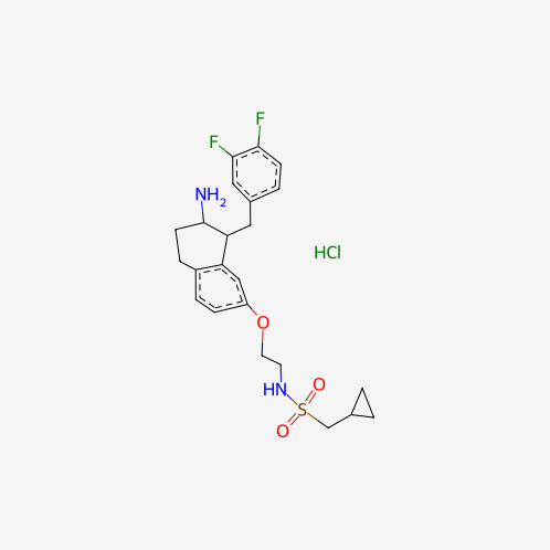 Cl.NC1CCc2ccc(OCCNS(=O)(=O)CC3CC3)cc2C1Cc1ccc(F)c(F)c1